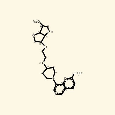 CCOC(=O)c1ccc2cncc(N3CCC(OCCOC4COC5C(OC)COC45)CC3)c2n1